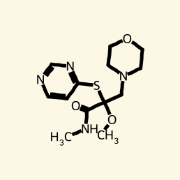 CNC(=O)C(CN1CCOCC1)(OC)Sc1ccncn1